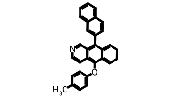 Cc1ccc(Oc2c3c(c(-c4ccc5ccccc5c4)c4cnccc24)=CCCC=3)cc1